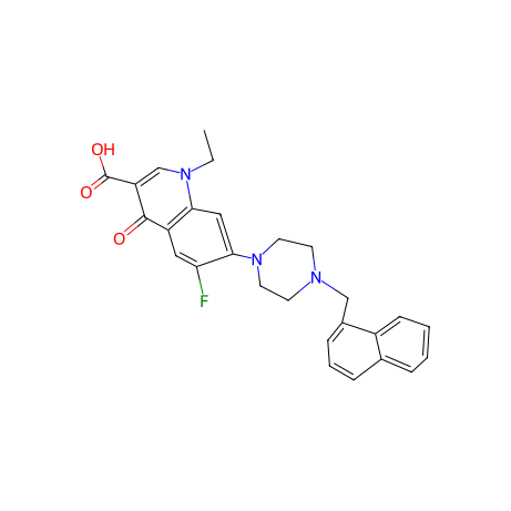 CCn1cc(C(=O)O)c(=O)c2cc(F)c(N3CCN(Cc4cccc5ccccc45)CC3)cc21